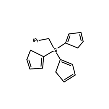 CC(C)C[Si](C1=CC=CC1)(C1=CC=CC1)C1=CC=CC1